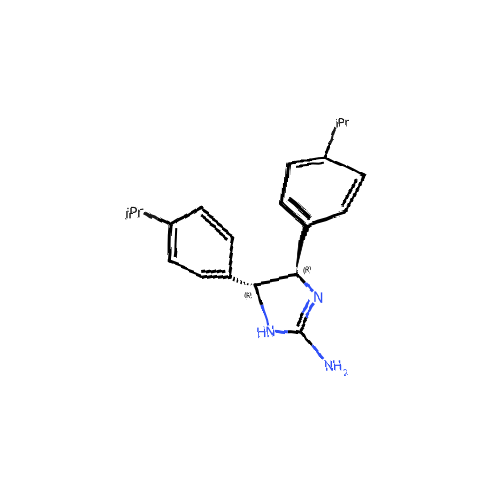 CC(C)c1ccc([C@H]2N=C(N)N[C@@H]2c2ccc(C(C)C)cc2)cc1